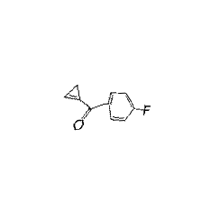 O=C(C1=CC1)c1ccc(F)cc1